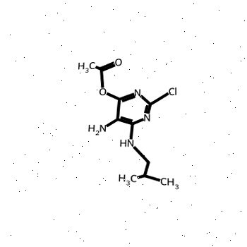 CC(=O)Oc1nc(Cl)nc(NCC(C)C)c1N